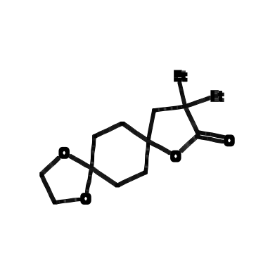 CCC1(CC)CC2(CCC3(CC2)OCCO3)OC1=O